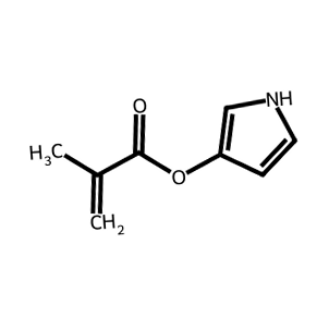 C=C(C)C(=O)Oc1cc[nH]c1